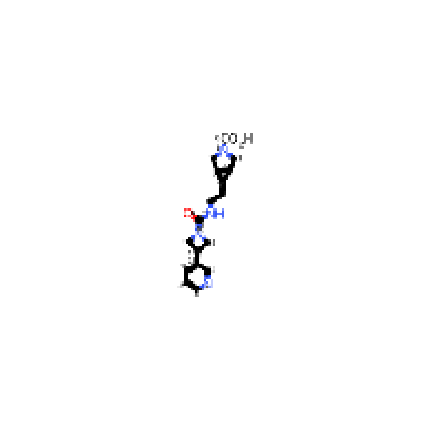 O=C(O)N1CC2C(CCNC(=O)N3CC(c4cccnc4)C3)C2C1